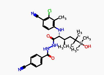 Cc1c(N[C@@H](C(=O)NNC(=O)c2ccc(C#N)cc2)[C@H](C)CC(C)(C)[Si](C)(C)O)ccc(C#N)c1Cl